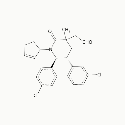 CC1(CC=O)C[C@H](c2cccc(Cl)c2)[C@@H](c2ccc(Cl)cc2)N(C2C=CCC2)C1=O